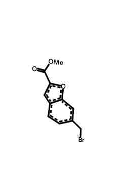 COC(=O)c1cc2ccc(CBr)cc2o1